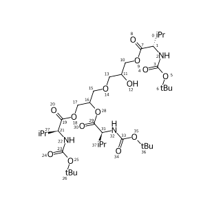 CC(C)[C@H](NC(=O)OC(C)(C)C)C(=O)OCC(O)COCC(COC(=O)[C@@H](NC(=O)OC(C)(C)C)C(C)C)OC(=O)[C@@H](NC(=O)OC(C)(C)C)C(C)C